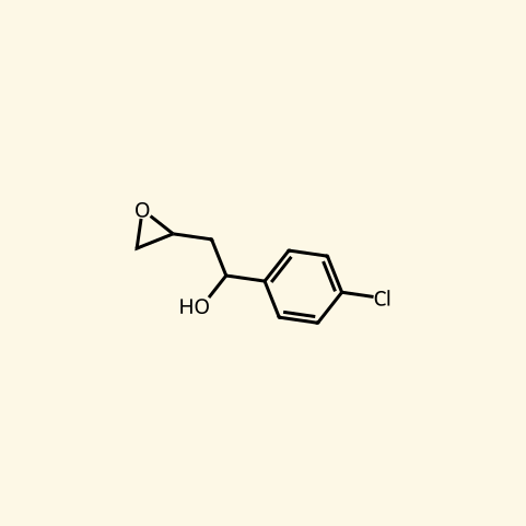 OC(CC1CO1)c1ccc(Cl)cc1